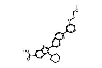 COCCOc1cccc(-c2ccc3cc(-c4nc5cc(C(=O)O)ccc5n4C4CCCCC4)ccc3n2)c1